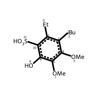 CCc1c(C(C)CC)c(OC)c(OC)c(O)c1S(=O)(=O)O